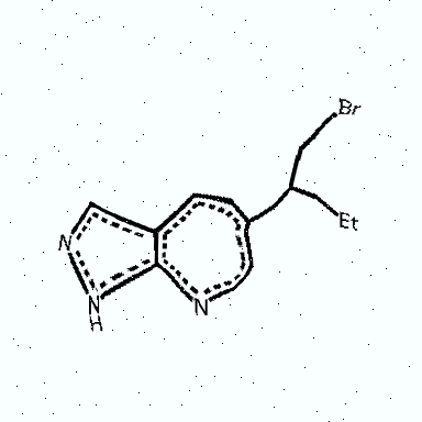 CCC(CBr)c1cnc2[nH]ncc2c1